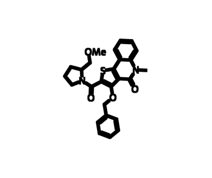 COCC1CCCN1C(=O)c1sc2c(c1OCc1ccccc1)c(=O)n(C)c1ccccc21